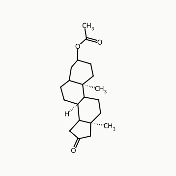 CC(=O)OC1CC[C@]2(C)C(CC[C@@H]3C4CC(=O)C[C@]4(C)CCC32)C1